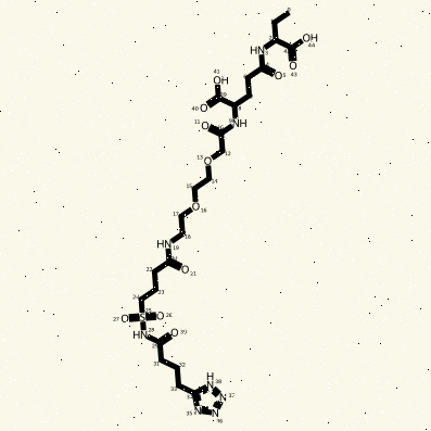 CCC(NC(=O)CCC(NC(=O)COCCOCCNC(=O)CCCS(=O)(=O)NC(=O)CCCc1nnn[nH]1)C(=O)O)C(=O)O